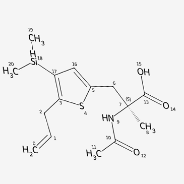 C=CCc1sc(C[C@](C)(NC(C)=O)C(=O)O)cc1[SiH](C)C